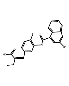 CCC(=Cc1ccc(F)c(NC(=O)c2cc(Br)cc3ccccc23)c1)C(=O)O